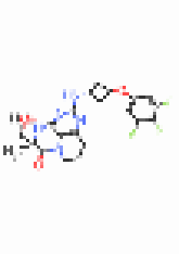 CN1c2nc(N[C@H]3C[C@H](Oc4cc(F)c(F)c(F)c4)C3)nc3c2N(CCC3)C(=O)[C@]1(C)CO